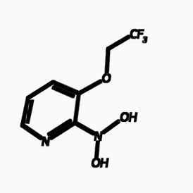 ON(O)c1ncccc1OCC(F)(F)F